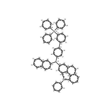 c1ccc(-n2c3cccc4ccc5cc(N(c6ccc(-c7cccc([Si](c8ccccc8)(c8ccccc8)c8ccccc8)c7)cc6)c6ccc7ccccc7c6)cc2c5c43)cc1